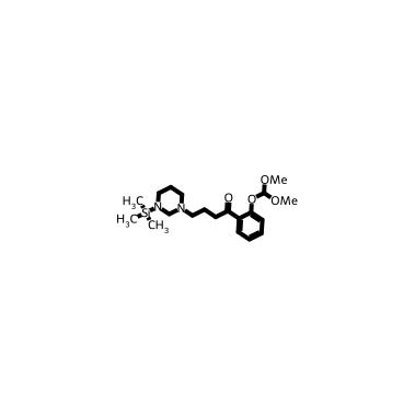 COC(OC)Oc1ccccc1C(=O)CCCN1CCCN([Si](C)(C)C)C1